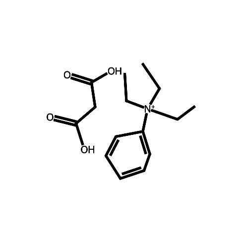 CC[N+](CC)(CC)c1ccccc1.O=C(O)CC(=O)O